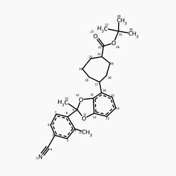 Cc1cc(C#N)ccc1C1(C)Oc2cccc(C3CCCC(C(=O)OC(C)(C)C)CC3)c2O1